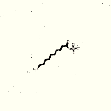 CCCCCCCCC=CC(=O)O[Si](Cl)(Cl)Cl